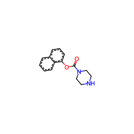 O=C(Oc1cccc2ccccc12)N1CCNCC1